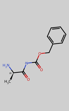 C[C@@H](N)C(=O)[N]C(=O)OCc1ccccc1